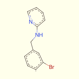 Brc1[c]ccc(CNc2ccccn2)c1